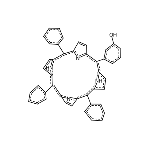 Oc1cccc(-c2c3nc(c(-c4ccccc4)c4ccc([nH]4)c(-c4ccccc4)c4nc(c(-c5ccccc5)c5ccc2[nH]5)C=C4)C=C3)c1